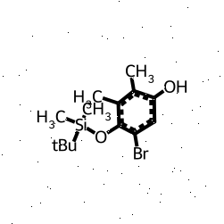 Cc1c(O)cc(Br)c(O[Si](C)(C)C(C)(C)C)c1C